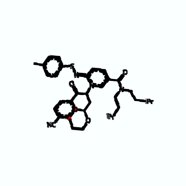 Cc1ccc(S/N=c2\ccc(C(=O)N(CCC(C)C)CCC(C)C)cn2C(CC2OCCCO2)C(=O)c2ccc(C#N)cc2)cc1